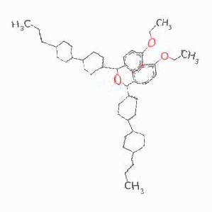 CCCC1CCC(C2CCC(C(OC(c3ccc(OCC)cc3)C3CCC(C4CCC(CCC)CC4)CC3)c3ccc(OCC)cc3)CC2)CC1